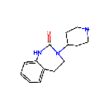 O=C1Nc2ccccc2CCN1C1CC[N]CC1